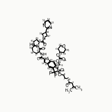 CC(C)CC(=O)SCCOP(=O)(OCOC(=O)OC1CCOCC1)C(F)(F)c1ccc2sc(C(=O)N[C@H]3CCC[C@H]4CC[C@@H](C(=O)N5CC(c6ncccn6)C5)N4C3=O)cc2c1